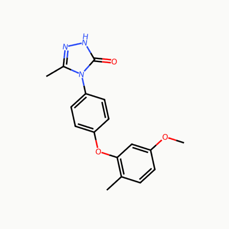 COc1ccc(C)c(Oc2ccc(-n3c(C)n[nH]c3=O)cc2)c1